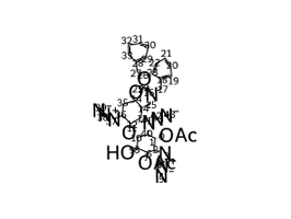 CC(=O)O[C@@H]1[C@@H](N=[N+]=[N-])[C@H](OC(C)=O)[C@@H](O)[C@H](O[C@H]2C[C@H](CN(Cc3ccccc3)C(=O)OCc3ccccc3)CC[C@H]2N=[N+]=[N-])[C@H]1N=[N+]=[N-]